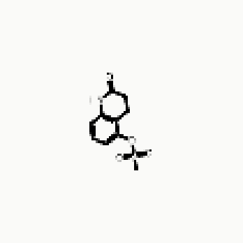 CS(=O)(=O)Oc1cccc2c1CCC(=O)N2